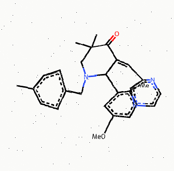 COc1ccc(OC)c(C2/C(=C\c3cnccn3)C(=O)C(C)(C)CN2Cc2ccc(C)cc2)c1